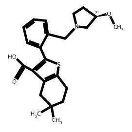 CO[C@@H]1CCN(Cc2ccccc2-c2sc3c(c2C(=O)O)CC(C)(C)CC3)C1